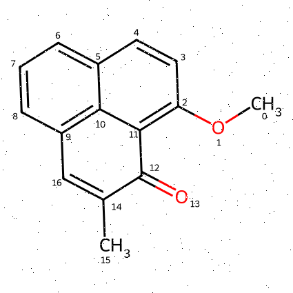 COc1ccc2cccc3c2c1C(=O)C(C)=C3